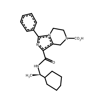 C[C@@H](NC(=O)c1nc(-c2ccccc2)n2c1CN(C(=O)O)CC2)C1CCCCC1